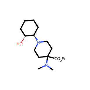 CCOC(=O)C1(N(C)C)CCN([C@@H]2CCCC[C@H]2O)CC1